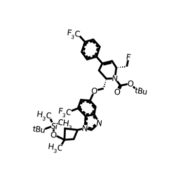 CC(C)(C)OC(=O)N1[C@H](COc2cc(C(F)(F)F)c3c(c2)ncn3C2CC(C)(O[Si](C)(C)C(C)(C)C)C2)CC(c2ccc(C(F)(F)F)cc2)=C[C@@H]1CF